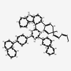 C/C=C\C=C/C1(C)C=CC(c2ccc3oc4ccccc4c3c2-c2nc(-c3ccc(-c4cccc5ccccc45)cc3)nc(-c3ccc4ccccc4c3)n2)=CC1